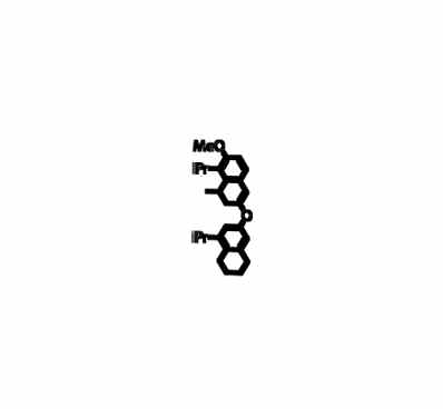 COc1ccc2c(c1C(C)C)C(C)CC(Oc1cc3c(c(C(C)C)c1)CCCC3)=C2